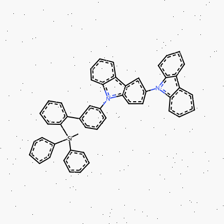 C[Si](c1ccccc1)(c1ccccc1)c1ccccc1-c1cccc(-n2c3ccccc3c3cc(-n4c5ccccc5c5ccccc54)ccc32)c1